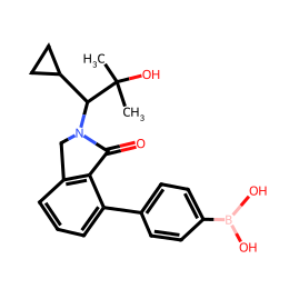 CC(C)(O)C(C1CC1)N1Cc2cccc(-c3ccc(B(O)O)cc3)c2C1=O